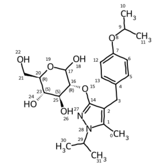 Cc1c(Cc2ccc(OC(C)C)cc2)c(O[C@H]2C(O)O[C@H](CO)[C@@H](O)[C@@H]2O)nn1C(C)C